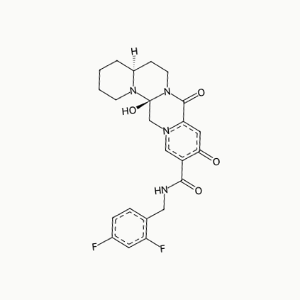 O=C(NCc1ccc(F)cc1F)c1cn2c(cc1=O)C(=O)N1CC[C@@H]3CCCCN3[C@@]1(O)C2